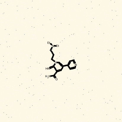 CCN(CC)CCCn1cc(-c2ccncc2)cc(C(N)=O)c1=N